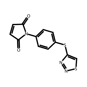 O=C1C=CC(=O)N1c1ccc(Sc2csnn2)cc1